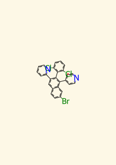 Clc1cccc(Cl)c1-c1c(-c2ccccn2)cc2ccc(Br)cc2c1-c1ccncc1